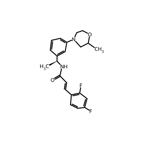 CC1CN(c2cccc([C@H](C)NC(=O)C=Cc3ccc(F)cc3F)c2)CCO1